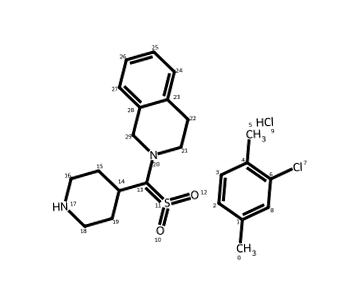 Cc1ccc(C)c(Cl)c1.Cl.O=S(=O)=C(C1CCNCC1)N1CCc2ccccc2C1